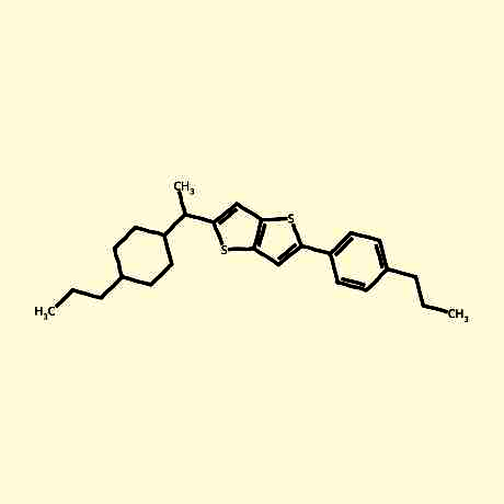 CCCc1ccc(-c2cc3sc(C(C)C4CCC(CCC)CC4)cc3s2)cc1